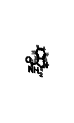 NC(=O)C1C[N]c2ccccc21